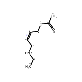 CCNC/C=C\COC(C)=O